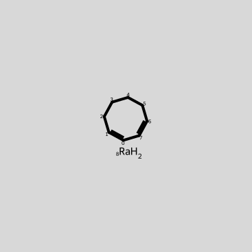 C1=CCCCCC=C1.[RaH2]